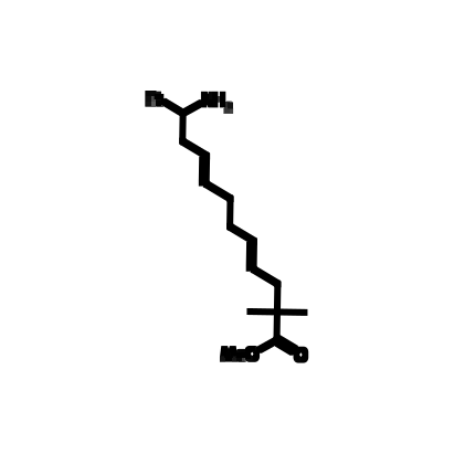 CCC(N)CC=CCCC=CCC(C)(C)C(=O)OC